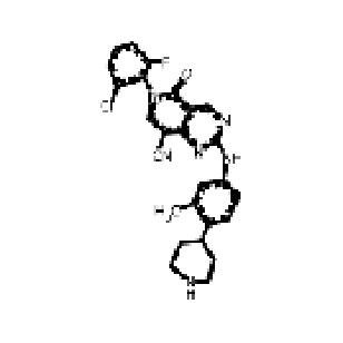 Cc1cc(Nc2ncc3c(=O)n(-c4c(F)cccc4Cl)cc(C#N)c3n2)ccc1C1CCNCC1